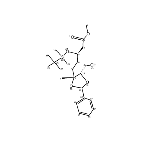 COC(=O)C[C@@H](CC[C@@]1(C)OC(c2ccccc2)O[C@H]1CO)O[Si](C)(C)C(C)(C)C